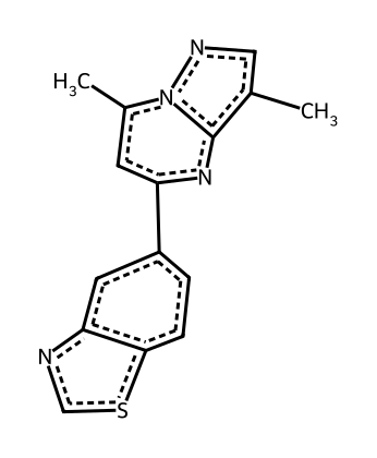 Cc1cnn2c(C)cc(-c3ccc4scnc4c3)nc12